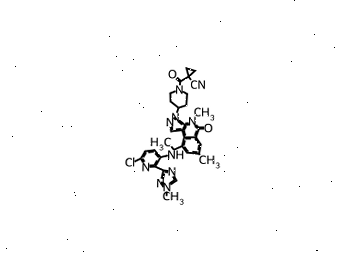 Cc1cc(C(C)Nc2ccc(Cl)nc2-c2ncn(C)n2)c2c(c1)c(=O)n(C)c1c2cnn1C1CCN(C(=O)C2(C#N)CC2)CC1